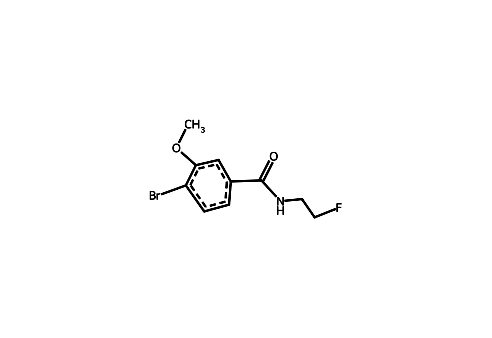 COc1cc(C(=O)NCCF)ccc1Br